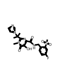 Cn1c(C(C)(C)n2ccnc2)nc(C(=O)NCc2ccc(F)cc2S(C)(=O)=O)c(O)c1=O